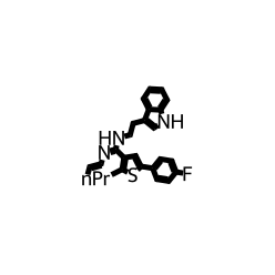 CCC/C=C/N=C(/NCCc1c[nH]c2ccccc12)c1cc(-c2ccc(F)cc2)sc1C